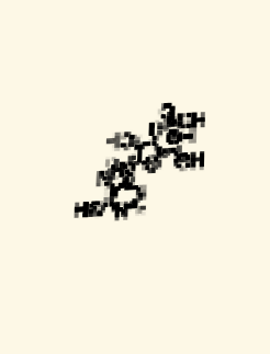 O=P(O)(O)O[C@H]1[C@H](O)[C@H](n2cnc3c(O)ncnc32)O[C@@H]1CO